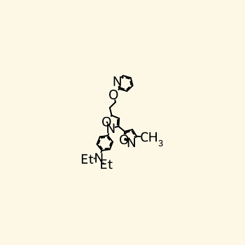 CCN(CC)c1ccc(N2OC(CCOc3ccccn3)C=C2c2cc(C)no2)cc1